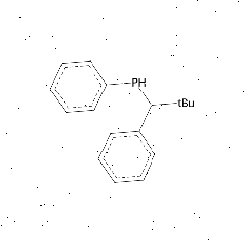 CC(C)(C)C(Pc1ccccc1)c1ccccc1